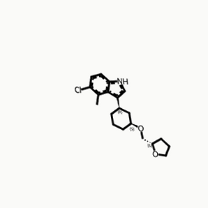 Cc1c(Cl)ccc2[nH]cc([C@@H]3CCC[C@H](OC[C@@H]4CCCO4)C3)c12